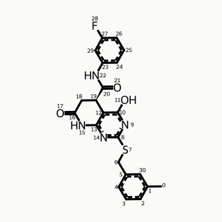 Cc1cccc(CSc2nc(O)c3c(n2)NC(=O)C[C@H]3C(=O)Nc2cccc(F)c2)c1